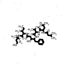 CCC(C)C(NC(=O)CC(O)C(Cc1ccccc1)NC(=O)C(NC(=O)C(CC(C)C)NC(=O)CC(C)C)C(C)C)C(=O)NC(C)(C)CCO